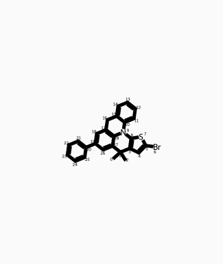 CC1(C)c2cc(Br)sc2N2c3ccccc3Cc3cc(-c4ccccc4)cc1c32